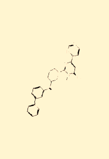 Cn1c(N2CCCC(C(=O)c3cccc(-c4ccccc4)c3)C2)nc(-c2ccncn2)cc1=O